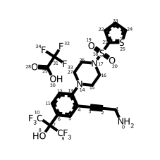 NCC#Cc1cc(C(O)(C(F)(F)F)C(F)(F)F)ccc1N1CCN(S(=O)(=O)c2cccs2)CC1.O=C(O)C(F)(F)F